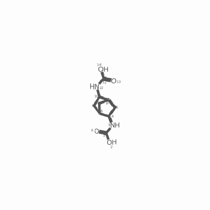 O=C(O)NC1CC2CC1CC2NC(=O)O